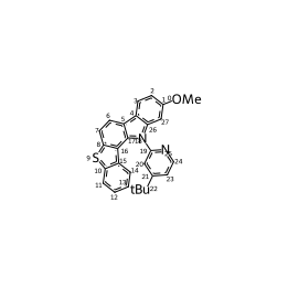 COc1ccc2c3ccc4sc5ccccc5c4c3n(-c3cc(C(C)(C)C)ccn3)c2c1